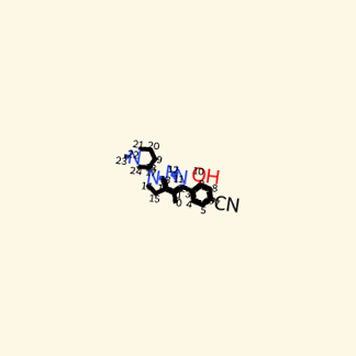 Cc1c(-c2ccc(C#N)cc2O)nnc2c1CCN2[C@H]1CCCN(C)C1